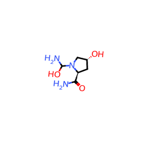 NC(=O)[C@@H]1C[C@@H](O)CN1C(N)O